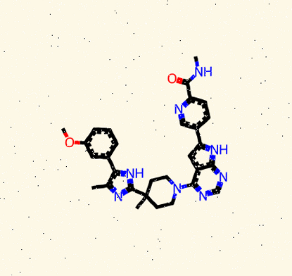 CNC(=O)c1ccc(-c2cc3c(N4CCC(C)(c5nc(C)c(-c6cccc(OC)c6)[nH]5)CC4)ncnc3[nH]2)cn1